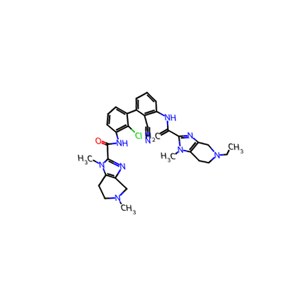 C=C(Nc1cccc(-c2cccc(NC(=O)c3nc4c(n3C)CCN(C)C4)c2Cl)c1C#N)c1nc2c(n1C)CCN(CC)C2